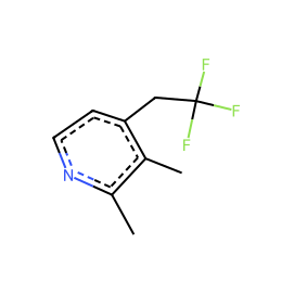 Cc1nccc(CC(F)(F)F)c1C